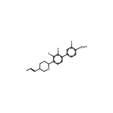 C/C=C/C1CCC(c2ccc(-c3ccc(CCCCC)c(F)c3)c(F)c2F)OC1